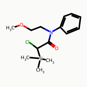 COCCN(C(=O)C(Cl)[Si](C)(C)C)c1ccccc1